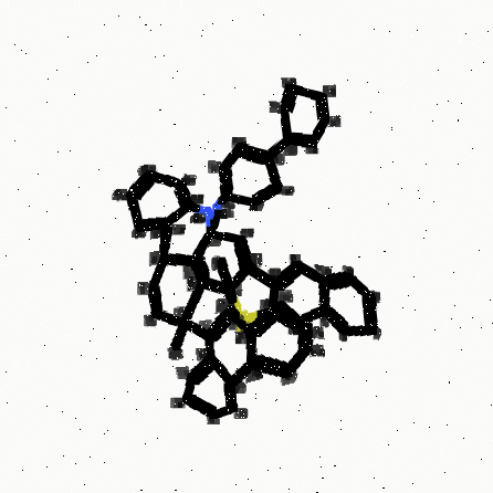 CC12Sc3cc4ccccc4cc3C1=CC1(C)C3=C2C(C)(c2cc4ccccc4c4ccccc24)C=CC3(C)c2ccccc2N1c1ccc(-c2ccccc2)cc1